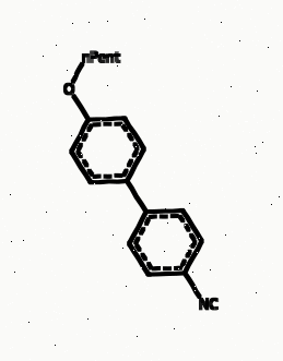 [C-]#[N+]c1ccc(-c2ccc(OCCCCC)cc2)cc1